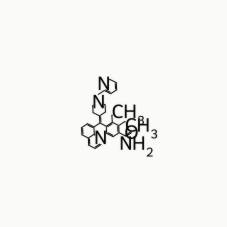 CCc1c(C(N)=O)ccc(C(=C2CCN(Cc3ccccn3)CC2)c2cccc3cccnc23)c1CC